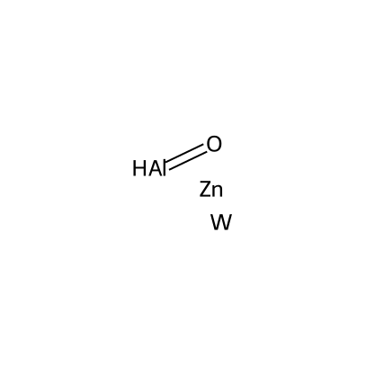 [O]=[AlH].[W].[Zn]